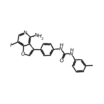 Cc1cccc(NC(=O)Nc2ccc(-c3coc4c(I)cnc(N)c34)cc2)c1